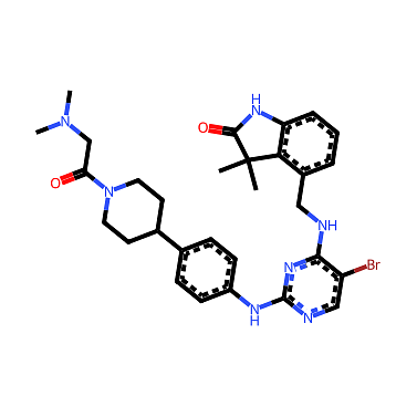 CN(C)CC(=O)N1CCC(c2ccc(Nc3ncc(Br)c(NCc4cccc5c4C(C)(C)C(=O)N5)n3)cc2)CC1